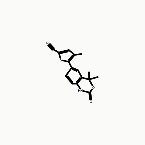 Cc1cc(C#N)sc1-c1ccc2c(c1)C(C)(C)OC(=O)N2